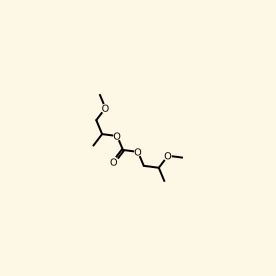 COCC(C)OC(=O)OCC(C)OC